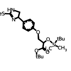 CSC1=NC(c2ccc(OCC(O[Si](C)(C)C(C)(C)C)C(=O)OC(C)(C)C)cc2)CN1